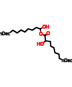 CCCCCCCCCCCCCCCCCC(O)OC(=O)C(O)CCCCCCCCCCCCCCCC